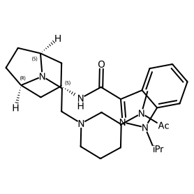 CC(=O)N(C)C1CCCN(CCN2[C@@H]3CC[C@H]2C[C@H](NC(=O)c2nn(C(C)C)c4ccccc24)C3)C1